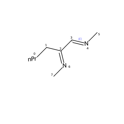 [CH2]CCCC(/[C]=N/C)=NC